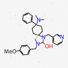 COc1ccc(CN2C[C@]3(CC[C@](c4ccccc4)(N(C)C)CC3)N(Cc3cccnc3)C2O)cc1